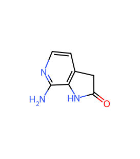 Nc1nccc2c1NC(=O)C2